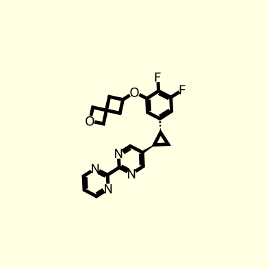 Fc1cc([C@@H]2C[C@H]2c2cnc(-c3ncccn3)nc2)cc(OC2CC3(COC3)C2)c1F